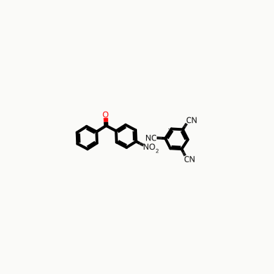 N#Cc1[c]c(C#N)cc(C#N)c1.O=C(c1ccccc1)c1ccc([N+](=O)[O-])cc1